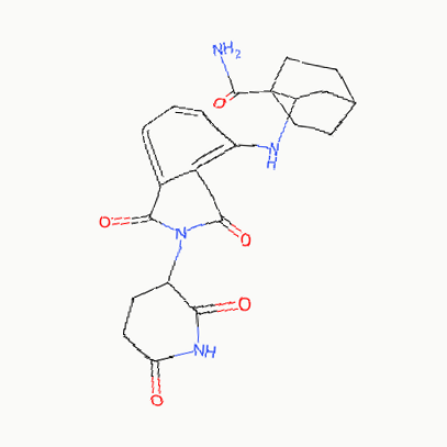 NC(=O)C12CCC(CC1)CC2Nc1cccc2c1C(=O)N(C1CCC(=O)NC1=O)C2=O